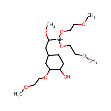 COCCOC1CC(CC(OC)[SiH](OCCOC)OCCOC)CCC1O